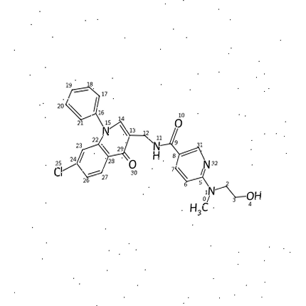 CN(CCO)c1ccc(C(=O)NCc2cn(-c3ccccc3)c3cc(Cl)ccc3c2=O)cn1